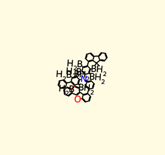 Bc1c(B)c(N(c2cccc(-c3cccc4oc5c6ccccc6ccc5c34)c2)c2c(B)c(B)c(-c3cccc4c3C(C)(C)c3ccccc3-4)c(B)c2B)c(B)c(B)c1-c1ccccc1